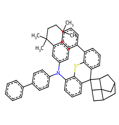 CC1(C)CCC(C)(C)c2cc(N(c3ccc(-c4ccccc4)cc3)c3cccc4c3Sc3c(-c5ccccc5)cccc3C43C4CC5CC6CC3C64C5)ccc21